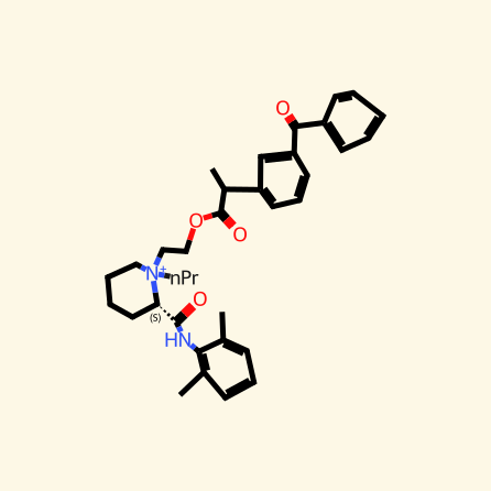 CCC[N+]1(CCOC(=O)C(C)c2cccc(C(=O)c3ccccc3)c2)CCCC[C@H]1C(=O)Nc1c(C)cccc1C